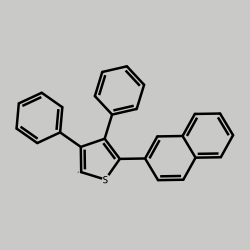 [c]1sc(-c2ccc3ccccc3c2)c(-c2ccccc2)c1-c1ccccc1